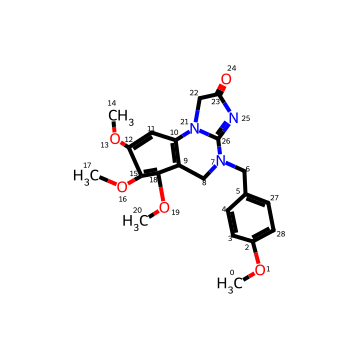 COc1ccc(CN2Cc3c(cc(OC)c(OC)c3OC)N3CC(=O)N=C23)cc1